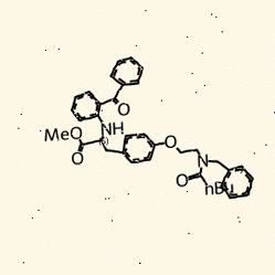 CCCCC(=O)N(CCOc1ccc(C[C@H](Nc2ccccc2C(=O)c2ccccc2)C(=O)OC)cc1)Cc1ccccc1